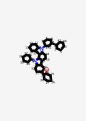 c1ccc(-c2cccc(-n3c4ccccc4c4c3ccc3c5c6oc7ccccc7c6ccc5n(-c5ccccc5)c34)c2)cc1